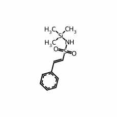 C[Si](C)(C)NS(=O)(=O)C=Cc1ccccc1